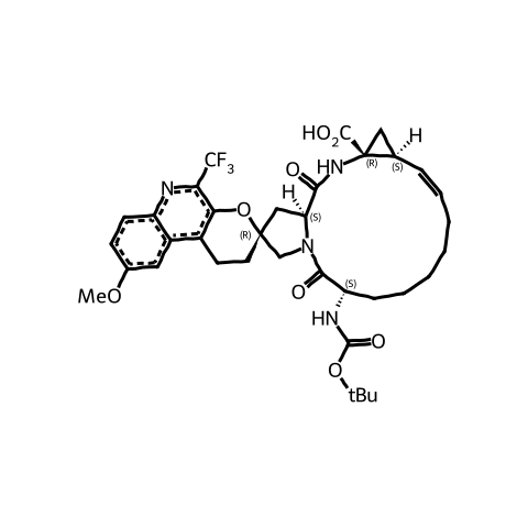 COc1ccc2nc(C(F)(F)F)c3c(c2c1)CC[C@]1(C[C@H]2C(=O)N[C@]4(C(=O)O)C[C@H]4C=CCCCCC[C@H](NC(=O)OC(C)(C)C)C(=O)N2C1)O3